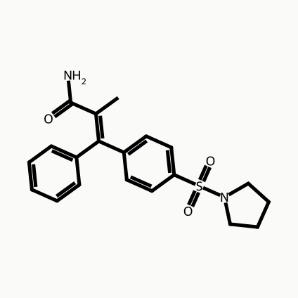 CC(C(N)=O)=C(c1ccccc1)c1ccc(S(=O)(=O)N2CCCC2)cc1